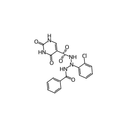 O=C(NN(NS(=O)(=O)c1c[nH]c(=O)[nH]c1=O)c1ccccc1Cl)c1ccccc1